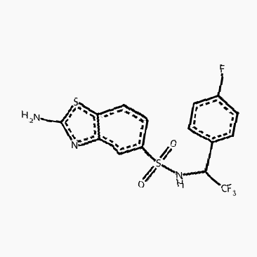 Nc1nc2cc(S(=O)(=O)NC(c3ccc(F)cc3)C(F)(F)F)ccc2s1